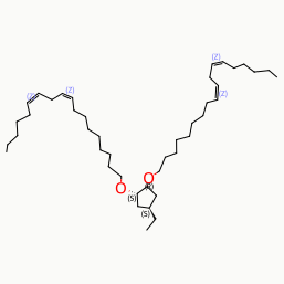 CCCCC/C=C\C/C=C\CCCCCCCCO[C@H]1C[C@H](CC)C[C@H]1OCCCCCCCC/C=C\C/C=C\CCCCC